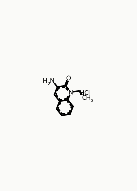 CCn1c(=O)c(N)cc2ccccc21.Cl